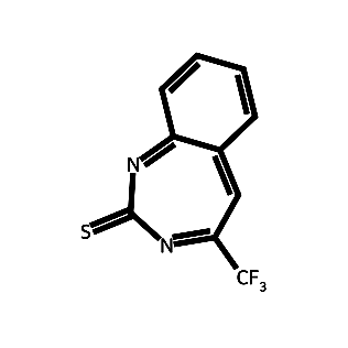 FC(F)(F)c1cc2ccccc2nc(=S)n1